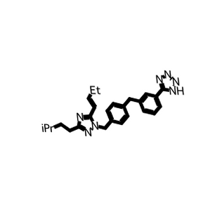 CC/C=C/c1nc(CCC(C)C)nn1Cc1ccc(Cc2cccc(-c3nnn[nH]3)c2)cc1